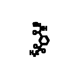 CC(C)(C)NC(=O)c1cccc(S(C)(=O)=O)c1